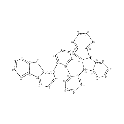 c1ccc(-c2cccc3c2sc2ccccc23)c(-c2ccccc2-n2c3ccccc3n3c4ccccc4nc23)c1